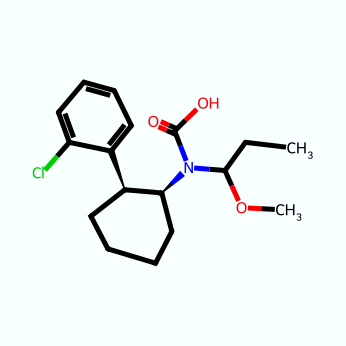 CCC(OC)N(C(=O)O)[C@H]1CCCC[C@H]1c1ccccc1Cl